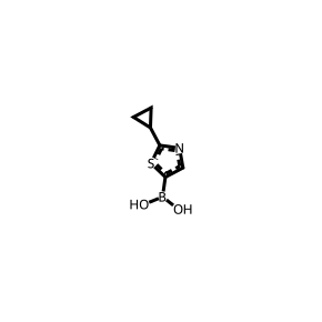 OB(O)c1cnc(C2CC2)s1